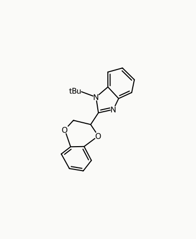 CC(C)(C)n1c(C2COc3ccccc3O2)nc2ccccc21